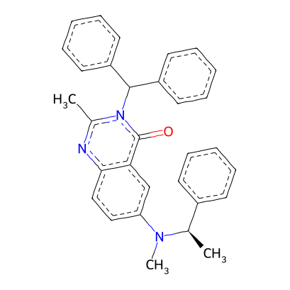 Cc1nc2ccc(N(C)[C@H](C)c3ccccc3)cc2c(=O)n1C(c1ccccc1)c1ccccc1